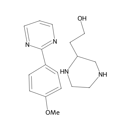 COc1ccc(-c2ncccn2)cc1.OCCC1CNCCN1